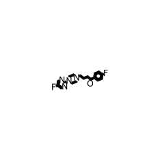 O=C(CCCN1CCN(c2ncc(F)cn2)CC1)c1ccc(F)cc1